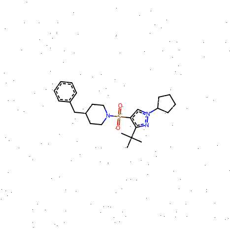 CC(C)(C)c1nn(C2CCCC2)cc1S(=O)(=O)N1CCC(Cc2ccccc2)CC1